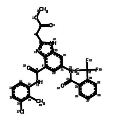 COC(=O)Cc1nc2c(C(=O)Nc3cccc(Cl)c3C)cc(NC(=O)c3ccccc3C(F)(F)F)cc2[nH]1